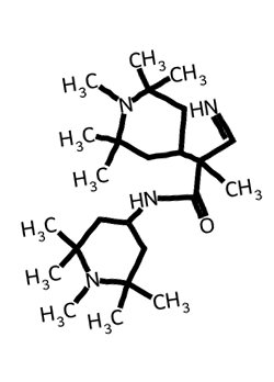 CN1C(C)(C)CC(NC(=O)C(C)(C=N)C2CC(C)(C)N(C)C(C)(C)C2)CC1(C)C